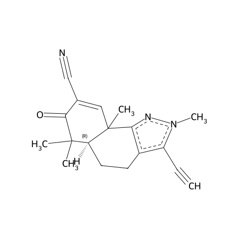 C#Cc1c2c(nn1C)C1(C)C=C(C#N)C(=O)C(C)(C)[C@@H]1CC2